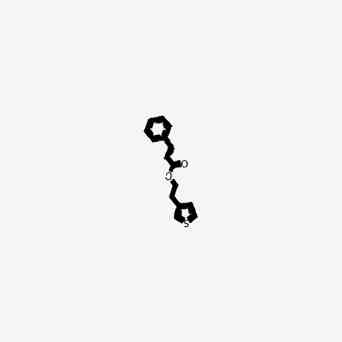 O=C(C=Cc1ccccc1)OCCc1ccsc1